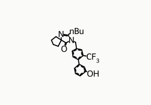 CCCCC1=NC2(CCCC2)C(=O)N1Cc1ccc(-c2cccc(O)c2)c(C(F)(F)F)c1